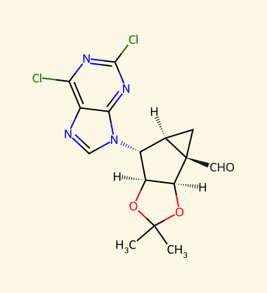 CC1(C)O[C@H]2[C@H](n3cnc4c(Cl)nc(Cl)nc43)[C@H]3C[C@]3(C=O)[C@H]2O1